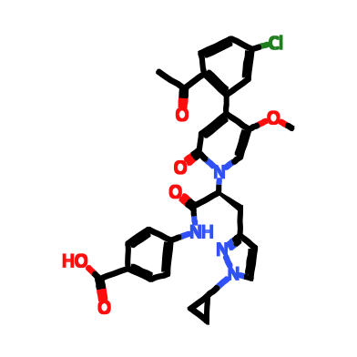 COc1cn([C@@H](Cc2ccn(C3CC3)n2)C(=O)Nc2ccc(C(=O)O)cc2)c(=O)cc1-c1cc(Cl)ccc1C(C)=O